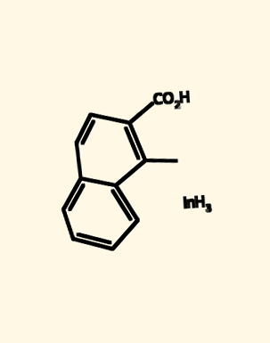 Cc1c(C(=O)O)ccc2ccccc12.[InH3]